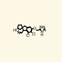 O/N=C\C1c2c(cc(OCc3nnn[nH]3)c(Cl)c2Cl)CC12CCCC2